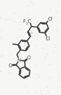 Cc1cc(/C=C/C(c2cc(Cl)cc(Cl)c2)C(F)(F)F)ccc1CN1C(=O)c2ccccc2C1=O